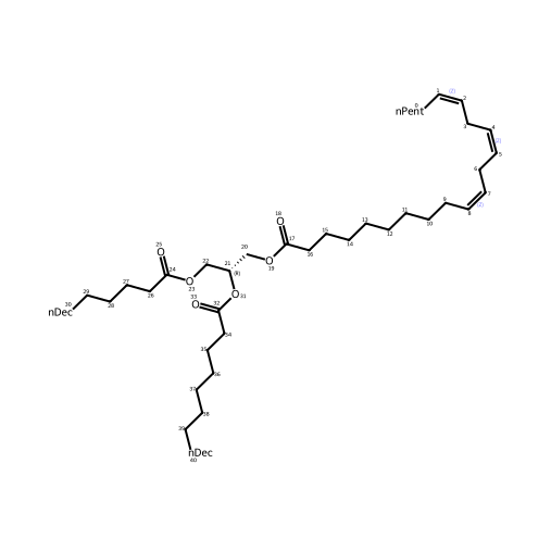 CCCCC/C=C\C/C=C\C/C=C\CCCCCCCCC(=O)OC[C@@H](COC(=O)CCCCCCCCCCCCCC)OC(=O)CCCCCCCCCCCCCCCC